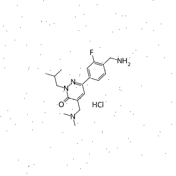 CC(C)Cn1nc(-c2ccc(CN)c(F)c2)cc(CN(C)C)c1=O.Cl